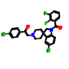 O=C(CN1CCC2(CC1)CN(C(=O)c1cccc(F)c1F)c1ccc(Cl)cc12)c1ccc(Cl)cc1